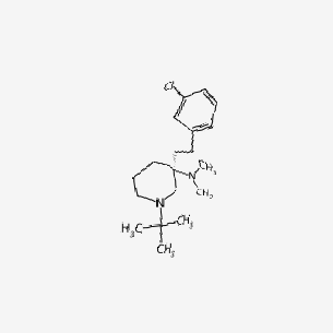 CN(C)[C@]1(CCc2cccc(Cl)c2)CCCN(C(C)(C)C)C1